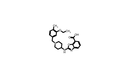 CCOc1cc(CN2CCC(Nc3nc4cccc(C(=O)O)c4o3)CC2)ccc1C